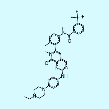 CCN1CCN(c2ccc(Nc3ncc4cc(-c5cc(NC(=O)c6cccc(C(F)(F)F)c6)ccc5C)n(C)c(=O)c4n3)cc2)CC1